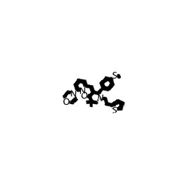 CSc1ccc(C2/C(=C/c3cccc(N4CCOCC4)n3)C(=O)C(C)(C)CN2CCc2cccs2)cc1